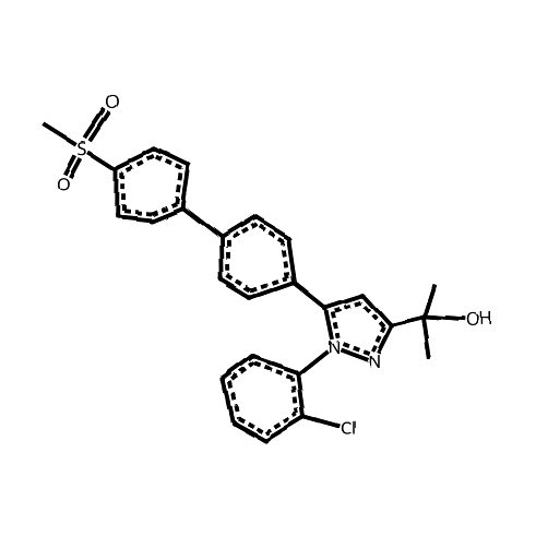 CC(C)(O)c1cc(-c2ccc(-c3ccc(S(C)(=O)=O)cc3)cc2)n(-c2ccccc2Cl)n1